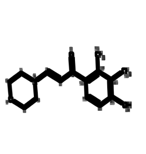 O=C(C=CN1CCOCC1)c1ccc(O)c(C(F)(F)F)c1C(F)(F)F